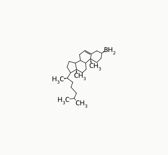 B[C@H]1CC[C@@]2(C)C(=CCC3C4CCC([C@H](C)CCCC(C)C)[C@@]4(C)CCC32)C1